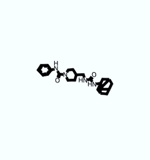 O=C(NCC1CCN(C(=O)Nc2ccccc2)CC1)NC12CC3CC(CC(C3)C1)C2